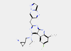 CNc1cc(F)cc2c1[nH]c1nc(Cc3cnc4ccnn4c3)nc(N3CC[C@@]4(C[C@H]4N)C3)c12